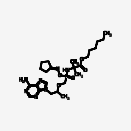 CCCCCCOC(=O)C(C)(C)NP(=O)(COC(C)Cn1cnc2c(N)ncnc21)ON=C1CCCC1